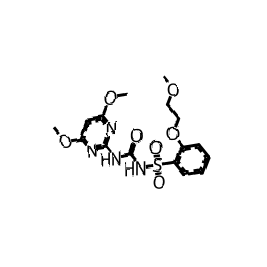 COCCOc1ccccc1S(=O)(=O)NC(=O)Nc1nc(OC)cc(OC)n1